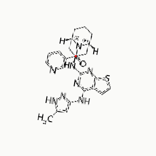 Cc1cc(Nc2nc(N[C@@H]3C[C@H]4CCC[C@@H](C3)N4C(=O)c3cccnc3)nc3sccc23)n[nH]1